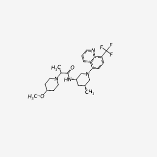 COC1CCN(C(C)C(=O)N[C@@H]2C[C@H](C)CN(c3ccc(C(F)(F)F)c4ncccc34)C2)CC1